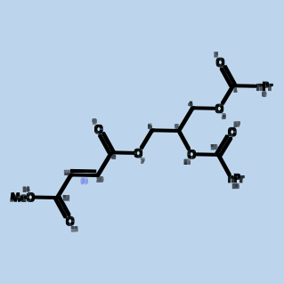 CCCC(=O)OCC(COC(=O)/C=C/C(=O)OC)OC(=O)CCC